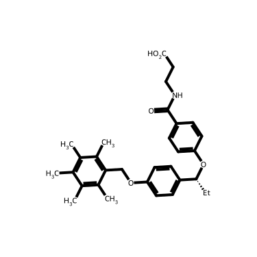 CC[C@@H](Oc1ccc(C(=O)NCCC(=O)O)cc1)c1ccc(OCc2c(C)c(C)c(C)c(C)c2C)cc1